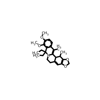 CCC1(CC)c2c(ccc(OC)c2OC)C(C)=C2C3C(=CC4=C(OCO4)C3C)CCN21